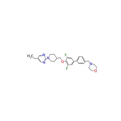 CCc1cnc(N2CCC(COc3c(F)cc(-c4ccc(CN5CCOCC5)cc4)cc3F)CC2)nc1